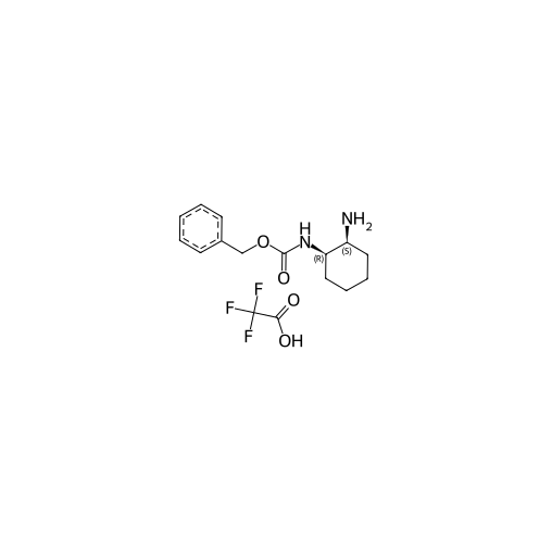 N[C@H]1CCCC[C@H]1NC(=O)OCc1ccccc1.O=C(O)C(F)(F)F